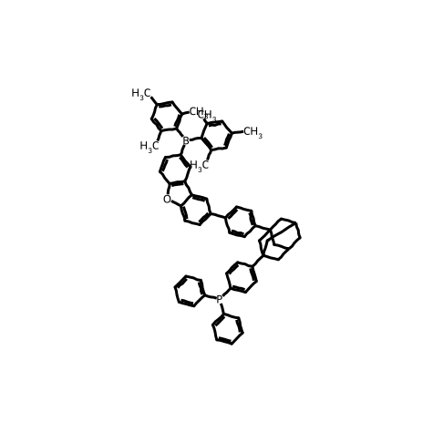 Cc1cc(C)c(B(c2ccc3oc4ccc(-c5ccc(C67CC8CC(C6)CC(c6ccc(P(c9ccccc9)c9ccccc9)cc6)(C8)C7)cc5)cc4c3c2)c2c(C)cc(C)cc2C)c(C)c1